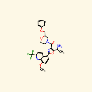 COc1ccc(-c2nc(C(=O)N3CCOC(COc4ccccc4)C3)c([C@H](C)N)o2)c2ccc(C(F)(F)F)nc12